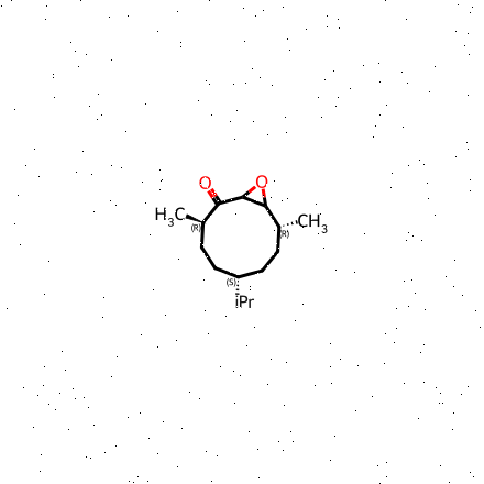 CC(C)[C@@H]1CC[C@@H](C)C(=O)C2OC2[C@H](C)CC1